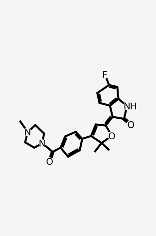 CN1CCN(C(=O)c2ccc(C3=CC(=C4C(=O)Nc5cc(F)ccc54)OC3(C)C)cc2)CC1